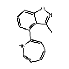 Cc1noc2cccc(C3=CC=CC=CN3)c12